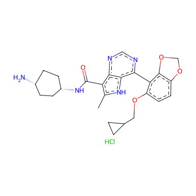 Cc1[nH]c2c(-c3c(OCC4CC4)ccc4c3OCO4)ncnc2c1C(=O)N[C@H]1CC[C@@H](N)CC1.Cl